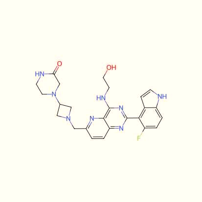 O=C1CN(C2CN(Cc3ccc4nc(-c5c(F)ccc6[nH]ccc56)nc(NCCO)c4n3)C2)CCN1